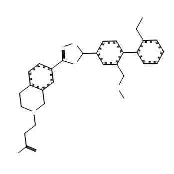 CCc1ccccc1-c1ccc(C2NC(c3ccc4c(c3)CN(CCC(=O)O)CC4)=NO2)cc1COC